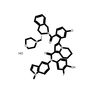 Cl.Cn1ccc2cc(N(C(=O)c3cc(-c4cc(Cl)ccc4C(=O)N4Cc5ccccc5C[C@H]4CN4CCOCC4)n4c3CCCC4)c3ccc(O)c(F)c3)ccc21